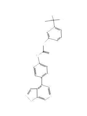 O=C(Nc1ccc(-c2cncc3[nH]ncc23)cc1)Nc1cccc(C(F)(F)F)c1